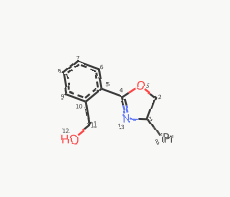 CC(C)C1COC(c2ccccc2CO)=N1